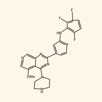 COc1cncc2nc(-c3ccnc(Nc4c(F)ccc(F)c4F)c3)nc(N3CCNCC3)c12